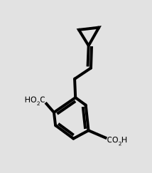 O=C(O)c1ccc(C(=O)O)c(CC=C2CC2)c1